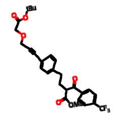 COC(=O)C(CCc1ccc(C#CCOCC(=O)OC(C)(C)C)cc1)C(=O)c1ccc(C(F)(F)F)cc1